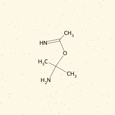 CC(=N)OC(C)(C)N